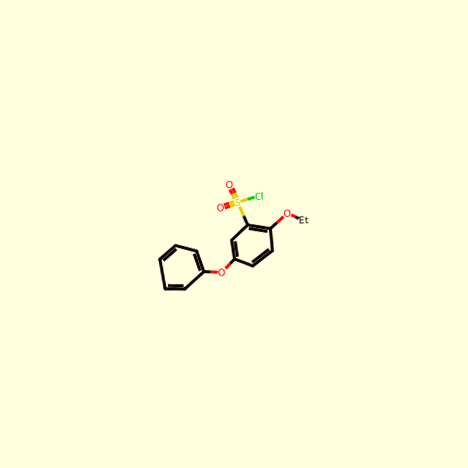 CCOc1ccc(Oc2ccccc2)cc1S(=O)(=O)Cl